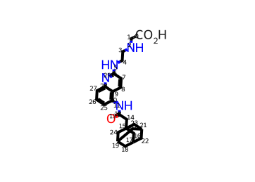 O=C(O)CNCCNc1ccc2c(NC(=O)CC34CC5CC(CC(C5)C3)C4)cccc2n1